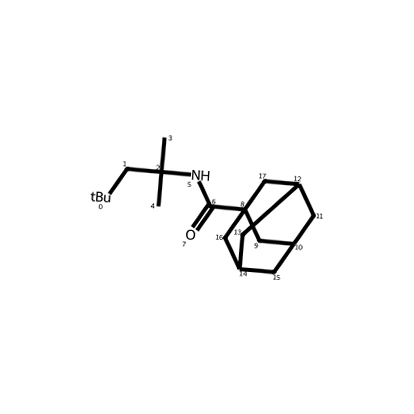 CC(C)(C)CC(C)(C)NC(=O)C12CC3CC(CC(C3)C1)C2